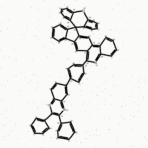 c1ccc(-c2nc3ccc(-c4ccc(-c5nc6ccccc6c6cc7c(cc56)-c5ccccc5C75c6ccccc6Oc6ccccc65)cc4)cc3nc2-c2ccccc2)cc1